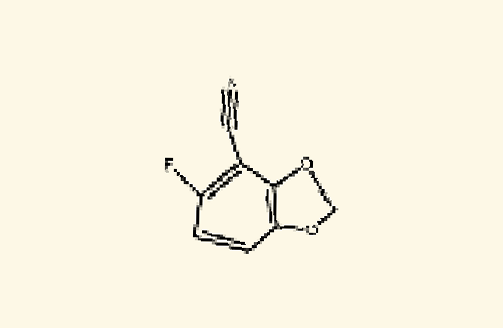 N#Cc1c(F)ccc2c1OCO2